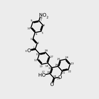 O=C(C=Cc1ccc([N+](=O)[O-])cc1)c1ccc(-c2c(O)c(=O)oc3ccccc23)cc1